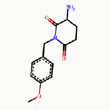 COc1ccc(CN2C(=O)CCC(N)C2=O)cc1